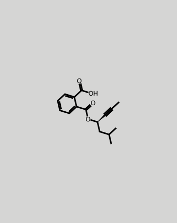 CC#C[C@@H](CC(C)C)OC(=O)c1ccccc1C(=O)O